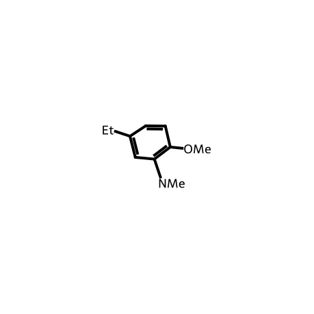 CCc1ccc(OC)c(NC)c1